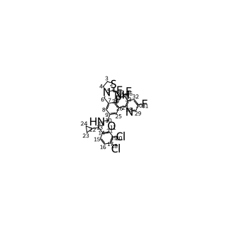 N=C1SCCN1Cc1cc(C(=O)NC(c2ccc(Cl)c(Cl)c2)C2CC2)cc(-c2ncc(F)cc2C(F)(F)F)c1